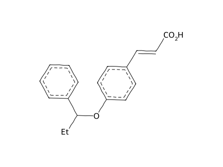 CCC(Oc1ccc(C=CC(=O)O)cc1)c1ccccc1